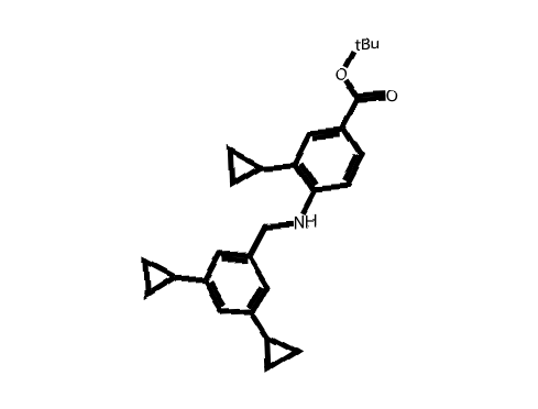 CC(C)(C)OC(=O)c1ccc(NCc2cc(C3CC3)cc(C3CC3)c2)c(C2CC2)c1